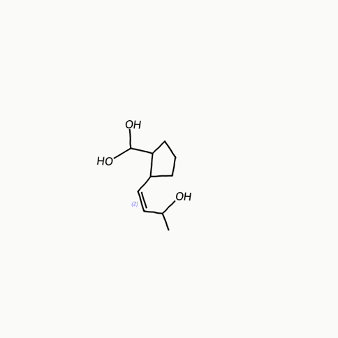 CC(O)/C=C\C1CCCC1C(O)O